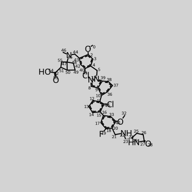 COc1cc(Cn2ncc3c(-c4cccc(-c5cc(F)c(CNC[C@@H]6CCC(=O)N6)c(OC)c5)c4Cl)cccc32)c(Cl)cc1CN(C)C12CCC1C(C(=O)O)C2